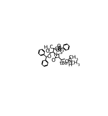 C=C(C)C(C(=O)OC(c1ccccc1)c1ccccc1)N1C(=O)[C@H]([C@@H](CO[SiH](C)C)C(C)(C)C)[C@H]1SS(=O)(=O)c1ccccc1